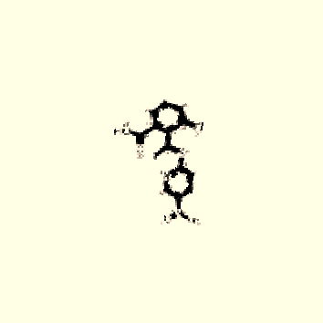 CC(Sc1ccc([N+](=O)[O-])cn1)c1c(Cl)cccc1C(=O)O